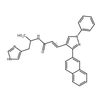 O=C(/C=C/c1cn(-c2ccccc2)nc1-c1ccc2ccccc2c1)NC(Cc1c[nH]cn1)C(=O)O